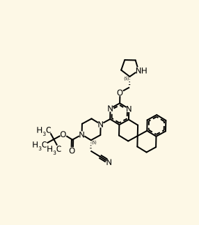 CC(C)(C)OC(=O)N1CCN(c2nc(OC[C@@H]3CCCN3)nc3c2CCC2(CCCc4ccccc42)C3)C[C@@H]1CC#N